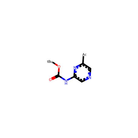 CC(=O)c1cncc(NC(=O)OC(C)(C)C)n1